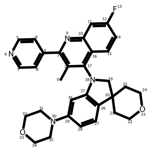 Cc1c(-c2ccncc2)nc2cc(F)ccc2c1N1CC2(CCOCC2)c2ccc(N3CCOCC3)cc21